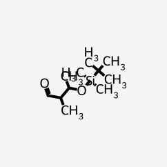 CC(C=O)C(C)O[Si](C)(C)C(C)(C)C